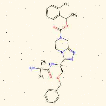 CC(OC(=O)N1CCn2c(nnc2[C@@H](COCc2ccccc2)NC(=O)C(C)(C)N)C1)c1ccccc1C(F)(F)F